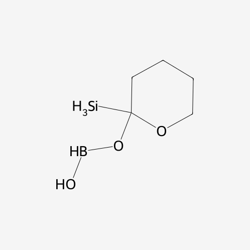 OBOC1([SiH3])CCCCO1